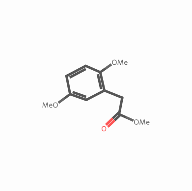 COC(=O)Cc1cc(OC)ccc1OC